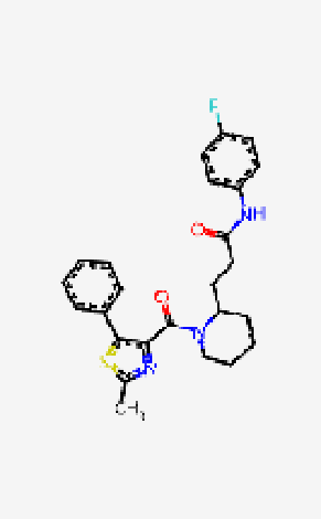 Cc1nc(C(=O)N2CCCCC2CCC(=O)Nc2ccc(F)cc2)c(-c2ccccc2)s1